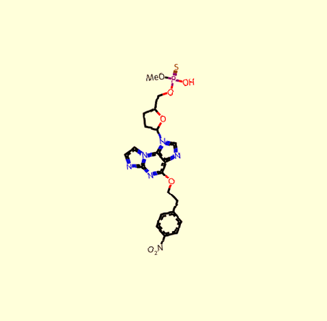 COP(O)(=S)OCC1CCC(n2cnc3c(OCCc4ccc([N+](=O)[O-])cc4)nc4nccn4c32)O1